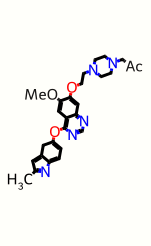 COc1cc2c(OC3=CC=C4N=C(C)C=C4C3)ncnc2cc1OCCN1CCN(CC(C)=O)CC1